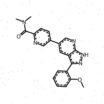 COc1ccccc1-c1n[nH]c2ncc(-c3ccc(C(=O)N(C)C)nc3)cc12